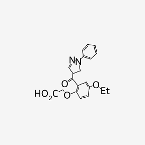 CCOc1ccc(OCC(=O)O)c(C(=O)C2C=NN(c3ccccc3)C2)c1